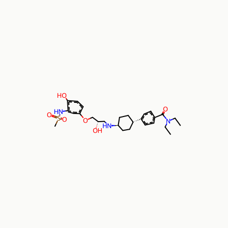 CCN(CC)C(=O)c1ccc([C@H]2CC[C@H](NC[C@H](O)COc3ccc(O)c(NS(C)(=O)=O)c3)CC2)cc1